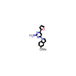 COc1ccc2c(ccn2-c2cc(-c3ccco3)nc(N)n2)c1